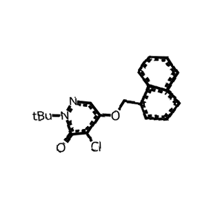 CC(C)(C)n1ncc(OCc2cccc3ccccc23)c(Cl)c1=O